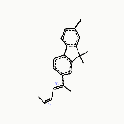 C/C=C\C=C(/C)c1ccc2c(c1)C(C)(C)c1cc(I)ccc1-2